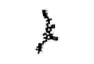 C=CC(C(C)(C)CCCO[Si](C)(C)C(C)(C)C)C(C)(N=C=O)c1ccc(CCC(C)(C)CN=[N+]=[N-])c(Cl)c1